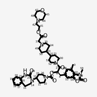 Cc1cc(C[C@@H](OC(=O)N2CCC(N3CCc4ccccc4NC3=O)CC2)C(=O)N2CCC(C3CCN(CC(=O)OCCN4CCOCC4)CC3)CC2)cc2oc(=O)n(C)c12